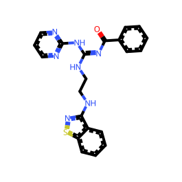 O=C(N=C(NCCNc1nsc2ccccc12)Nc1ncccn1)c1ccccc1